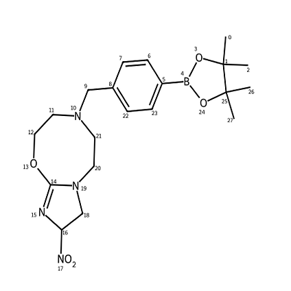 CC1(C)OB(c2ccc(CN3CCOC4=NC([N+](=O)[O-])CN4CC3)cc2)OC1(C)C